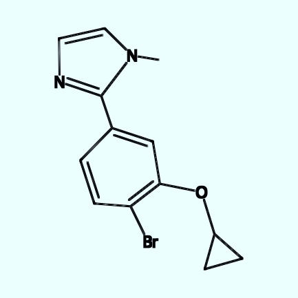 Cn1ccnc1-c1ccc(Br)c(OC2CC2)c1